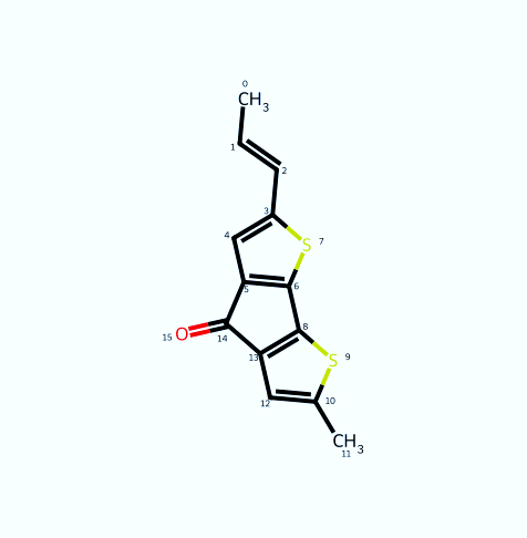 C/C=C/c1cc2c(s1)-c1sc(C)cc1C2=O